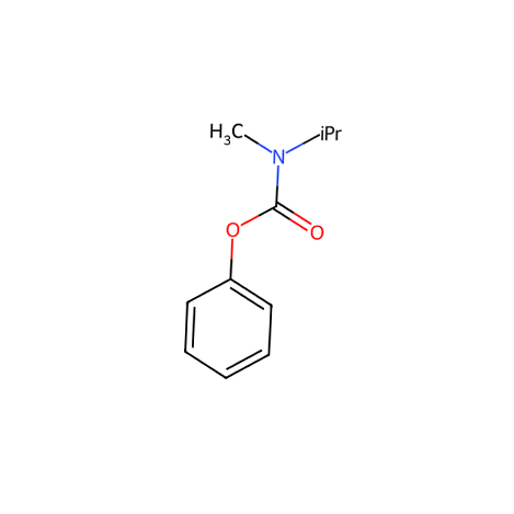 CC(C)N(C)C(=O)Oc1ccccc1